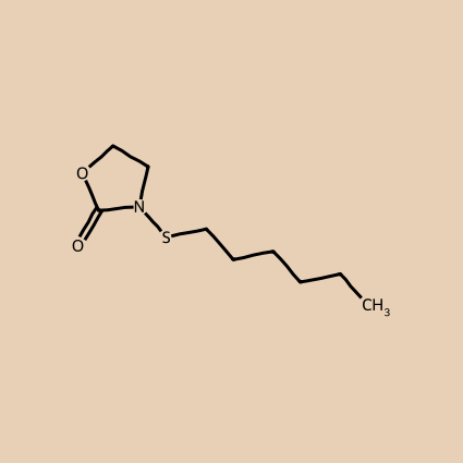 CCCCCCSN1CCOC1=O